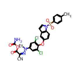 CCN(N=C(C#N)C(=O)OC(N)=O)c1cc(Cl)c(Oc2ccc3c(ccn3S(=O)(=O)c3ccc(C)cc3)c2)c(Cl)c1